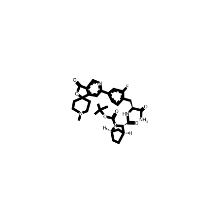 CN1CCC2(CC1)OC(=O)c1cnc(-c3ccc(C[C@H](NC(=O)[C@@H]4[C@H]5CC[C@H](C5)N4C(=O)OC(C)(C)C)C(N)=O)c(F)c3)cc12